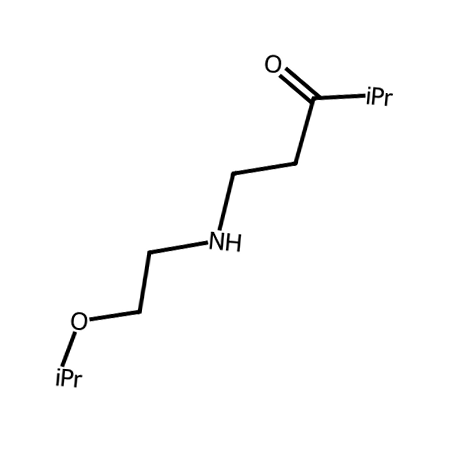 CC(C)OCCNCCC(=O)C(C)C